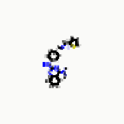 CN(C)c1nc(N[C@H]2CC[C@@H](CNCc3cccs3)CC2)nc2ccccc12